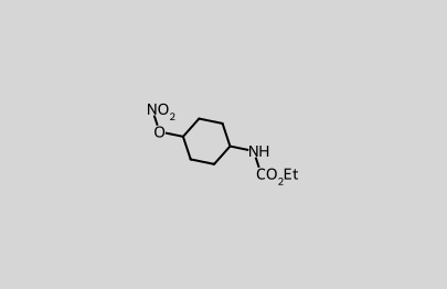 CCOC(=O)NC1CCC(O[N+](=O)[O-])CC1